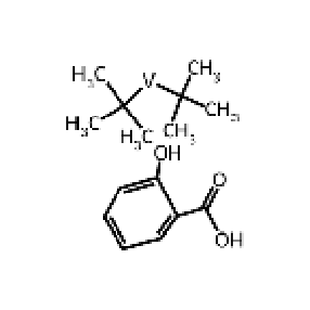 C[C](C)(C)[V][C](C)(C)C.O=C(O)c1ccccc1O